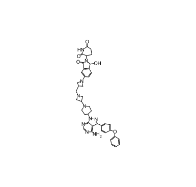 Nc1ncnc2c1c(-c1ccc(Oc3ccccc3)cc1)nn2C1CCN(C2CN(CC3CN(c4ccc5c(c4)C(=O)N(C4CCC(=O)NC4=O)C5O)C3)C2)CC1